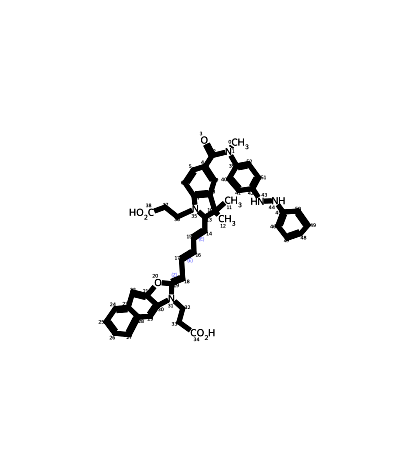 CN(C(=O)c1ccc2c(c1)C(C)(C)C(/C=C/C=C/C=C1\Oc3cc4ccccc4cc3N1CCC(=O)O)N2CCC(=O)O)c1ccc(NNc2ccccc2)cc1